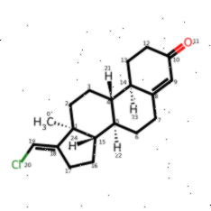 C[C@]12CC[C@H]3[C@@H](CCC4=CC(=O)CC[C@@H]43)[C@@H]1CC/C2=C\Cl